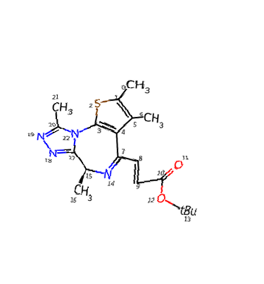 Cc1sc2c(c1C)C(/C=C/C(=O)OC(C)(C)C)=N[C@@H](C)c1nnc(C)n1-2